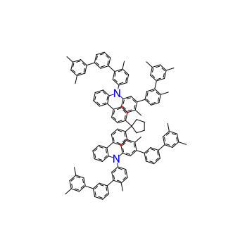 Cc1cc(C)cc(-c2cccc(-c3cc(N(c4ccc(C)c(-c5cccc(-c6cc(C)cc(C)c6)c5)c4)c4ccccc4-c4ccc(C5(c6ccc(-c7ccccc7N(c7ccc(C)c(-c8cccc(-c9cc(C)cc(C)c9)c8)c7)c7ccc(C)c(-c8ccc(C)c(-c9cc(C)cc(C)c9)c8)c7)cc6)CCCC5)cc4)ccc3C)c2)c1